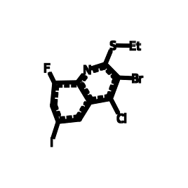 CCSc1nc2c(F)cc(I)cc2c(Cl)c1Br